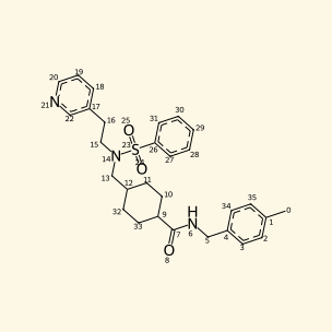 Cc1ccc(CNC(=O)C2CCC(CN(CCc3cccnc3)S(=O)(=O)c3ccccc3)CC2)cc1